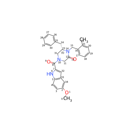 COc1ccc2[nH]c(C(=O)N3CC(=O)N(Cc4ccccc4C)[C@@H](Cc4ccccc4)C3)cc2c1